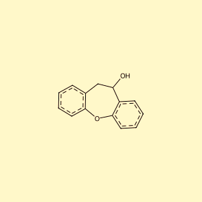 OC1Cc2ccccc2Oc2ccccc21